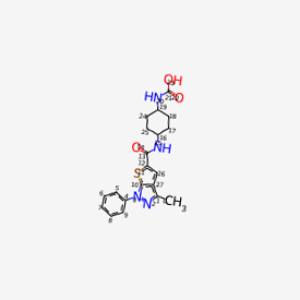 Cc1nn(-c2ccccc2)c2sc(C(=O)NC3CCC(NC(=O)O)CC3)cc12